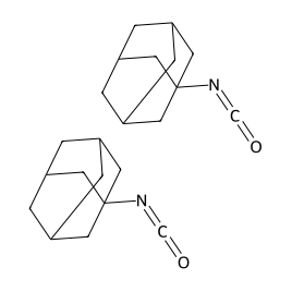 O=C=NC12CC3CC(CC(C3)C1)C2.O=C=NC12CC3CC(CC(C3)C1)C2